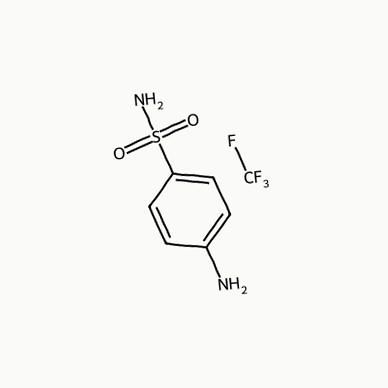 FC(F)(F)F.Nc1ccc(S(N)(=O)=O)cc1